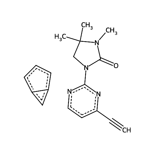 C#Cc1ccnc(N2CC(C)(C)N(C)C2=O)n1.c1cc2cc-2c1